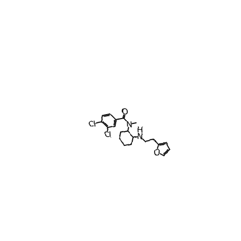 CN(C(=O)c1ccc(Cl)c(Cl)c1)C1CCCCC1NCCc1ccco1